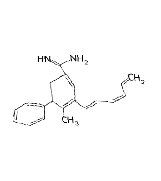 C=C/C=C\C=C\C1=C(C)C(c2ccccc2)CC(C(=N)N)=C1